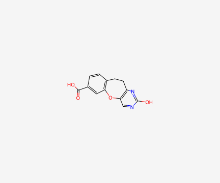 O=C(O)c1ccc2c(c1)Oc1cnc(O)nc1CC2